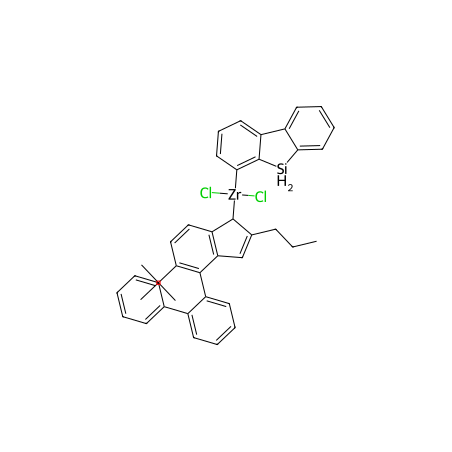 CCCC1=Cc2c(ccc(C(C)(C)C)c2-c2ccccc2-c2ccccc2)[CH]1[Zr]([Cl])([Cl])[c]1cccc2c1[SiH2]c1ccccc1-2